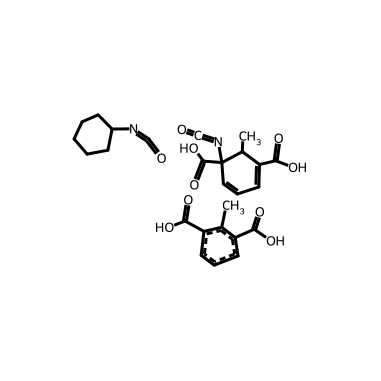 CC1C(C(=O)O)=CC=CC1(N=C=O)C(=O)O.Cc1c(C(=O)O)cccc1C(=O)O.O=C=NC1CCCCC1